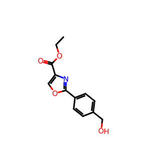 CCOC(=O)c1coc(-c2ccc(CO)cc2)n1